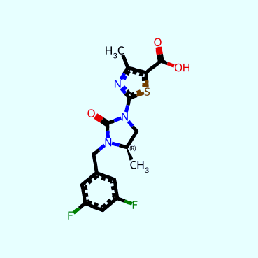 Cc1nc(N2C[C@@H](C)N(Cc3cc(F)cc(F)c3)C2=O)sc1C(=O)O